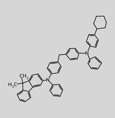 CC1(C)c2ccccc2-c2cc(N(c3ccccc3)c3ccc(Cc4ccc(N(c5ccccc5)c5ccc(C6CCCCC6)cc5)cc4)cc3)ccc21